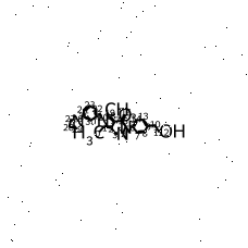 Cc1c2cnn(-c3ccc(CCO)cc3)c(=O)c2c(C)n1-c1cccc(N2CCC2)c1